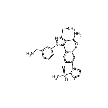 CCc1nn(-c2cccc(CN)c2)c(-c2ccc(-n3ccnc3S(C)(=O)=O)cc2F)c1C(N)=O